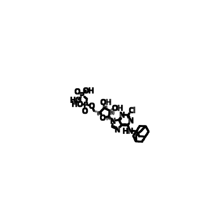 O=P(O)(O)CP(=O)(O)OC[C@H]1O[C@@H](n2cnc3c(NC45CC6CC(CC(C6)C4)C5)nc(Cl)nc32)[C@@H](O)[C@H]1O